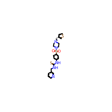 O=S(=O)(c1ccc(NC(=S)NCc2cccnc2)cc1)N1CCN(Cc2ccsc2)CC1